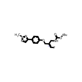 Cn1ncc(-c2ccc(OC/C(=C/F)CNC(=O)OC(C)(C)C)cc2)n1